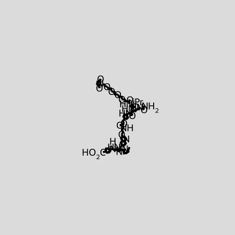 Cc1cccc(-c2nc(CNc3ccc(C(=O)O)cc3)[nH]c2-c2ccc3ncc(OCCNC(=O)OCc4ccc(NC(=O)C(CCCNC(N)=O)NC(=O)[C@@H](NC(=O)CCOCCOCCOCCOCCN5C(=O)C=CC5=O)C(C)C)cc4)cc3c2)n1